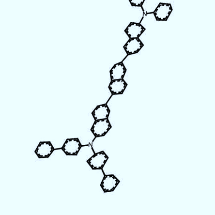 c1ccc(-c2ccc(N(c3ccc(-c4ccccc4)cc3)c3ccc4cc(-c5ccc6cc(-c7ccc8cc(N(c9ccccc9)c9ccccc9)ccc8c7)ccc6c5)ccc4c3)cc2)cc1